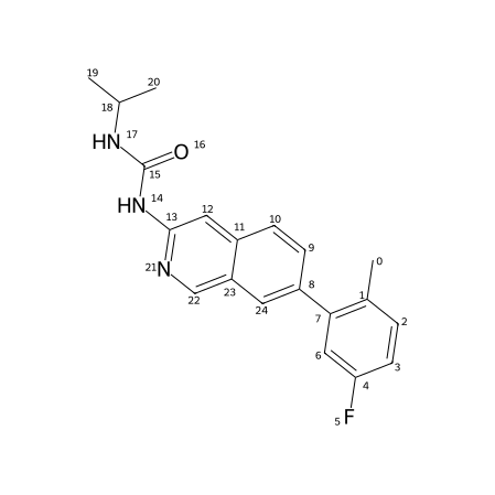 Cc1ccc(F)cc1-c1ccc2cc(NC(=O)NC(C)C)ncc2c1